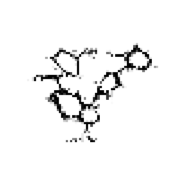 C[S+]([O-])c1cn(-c2ncc(-c3ccccc3F)cn2)c2cc(C(=O)N3CC[C@@H](O)C3)ccc12